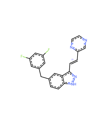 Fc1cc(F)cc(Cc2ccc3[nH]nc(/C=C/c4cnccn4)c3c2)c1